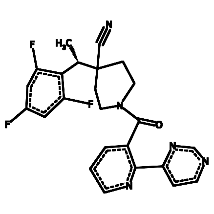 C[C@@H](c1c(F)cc(F)cc1F)C1(C#N)CCN(C(=O)c2cccnc2-c2ccncn2)CC1